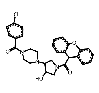 O=C(c1ccc(Cl)cc1)N1CCN(C2CN(C(=O)C3c4ccccc4Oc4ccccc43)CC2O)CC1